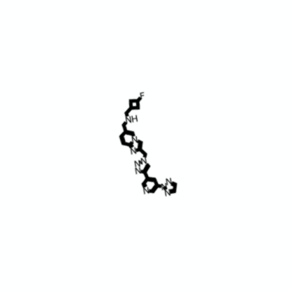 FC1CC(CNCc2ccc3nc(Cn4cc(-c5cncc(-n6nccn6)c5)nn4)cn3c2)C1